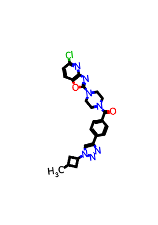 CC1CC(n2cc(-c3ccc(C(=O)N4CCN(c5nc6nc(Cl)ccc6o5)CC4)cc3)nn2)C1